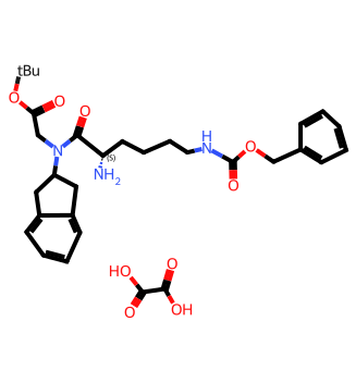 CC(C)(C)OC(=O)CN(C(=O)[C@@H](N)CCCCNC(=O)OCc1ccccc1)C1Cc2ccccc2C1.O=C(O)C(=O)O